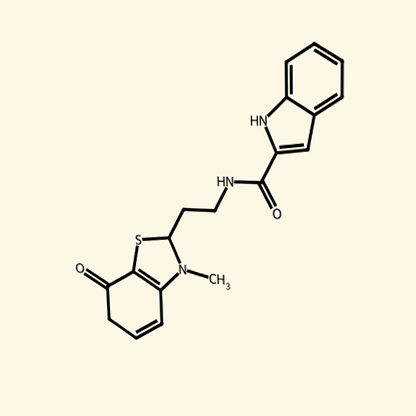 CN1C2=C(SC1CCNC(=O)c1cc3ccccc3[nH]1)C(=O)CC=C2